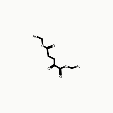 CC(=O)COC(=O)CCC(=O)C(=O)OCC(C)=O